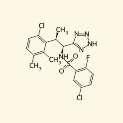 Cc1ccc(Cl)c([C@@H](C)[C@H](NS(=O)(=O)c2cc(Cl)ccc2F)c2nn[nH]n2)c1C